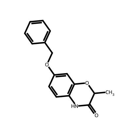 CC1Oc2cc(OCc3ccccc3)ccc2NC1=O